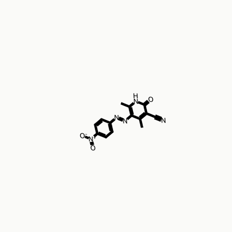 Cc1[nH]c(=O)c(C#N)c(C)c1N=Nc1ccc([N+](=O)[O-])cc1